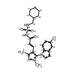 Cc1nn(C)c(-n2ccc3cc(Cl)ccc32)c1C=CC(=O)NS(=O)(=O)NCC1CCCCC1